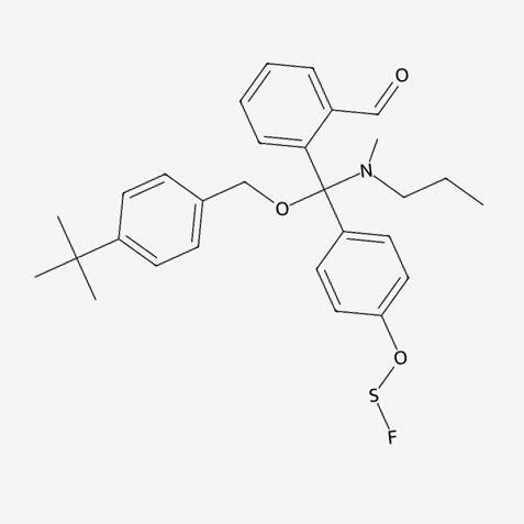 CCCN(C)C(OCc1ccc(C(C)(C)C)cc1)(c1ccc(OSF)cc1)c1ccccc1C=O